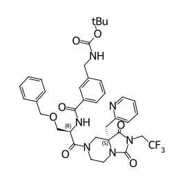 CC(C)(C)OC(=O)NCc1cccc(C(=O)N[C@H](COCc2ccccc2)C(=O)N2CCN3C(=O)N(CC(F)(F)F)C(=O)[C@]3(Cc3ccccn3)C2)c1